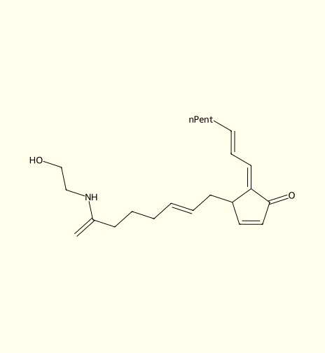 C=C(CCC/C=C/CC1C=CC(=O)/C1=C/C=C/CCCCC)NCCO